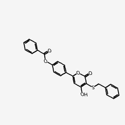 O=C(Oc1ccc(-c2cc(O)c(SCc3ccccc3)c(=O)o2)cc1)c1ccccc1